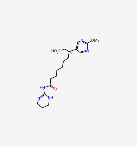 COc1ncc([C@@H](CCCCCCC(=O)NC2=NCCCN2)CC(=O)O)cn1